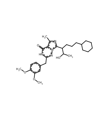 COc1ccc(Cc2nn3c(C(CCCC4CCCCC4)C(C)O)nc(C)c3c(=O)[nH]2)cc1OC